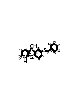 CN(c1cccc(SCc2ccccc2)c1)C1CCC(=O)NC1=O